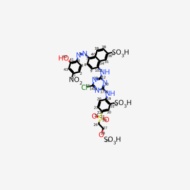 O=[N+]([O-])c1ccc(/N=N\c2ccc(Nc3nc(Cl)nc(Nc4ccc(S(=O)(=O)CCOS(=O)(=O)O)cc4S(=O)(=O)O)n3)c3cc(S(=O)(=O)O)ccc23)c(O)c1